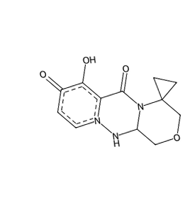 O=C1c2c(O)c(=O)ccn2NC2COCC3(CC3)N12